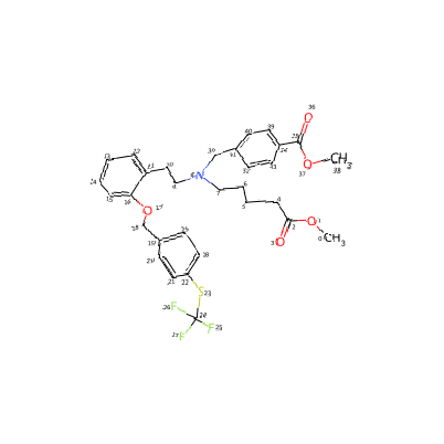 COC(=O)CCCCN(CCc1ccccc1OCc1ccc(SC(F)(F)F)cc1)Cc1ccc(C(=O)OC)cc1